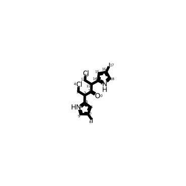 O=C(C(CCl)c1cc(I)c[nH]1)C(CCl)c1cc(I)c[nH]1